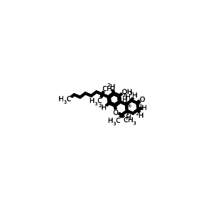 [2H]c1c(O)c2c(c([2H])c1C(C)(C)CCCCCC)OC(C)(C)[C@@H]1CC([2H])([2H])C(=O)C([2H])([2H])[C@@H]21